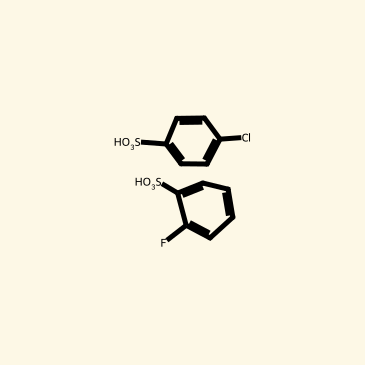 O=S(=O)(O)c1ccc(Cl)cc1.O=S(=O)(O)c1ccccc1F